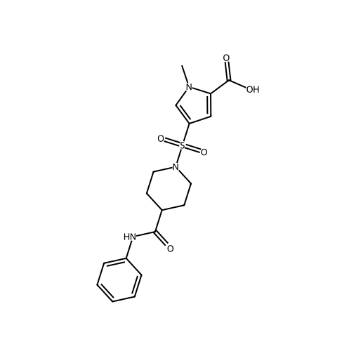 Cn1cc(S(=O)(=O)N2CCC(C(=O)Nc3ccccc3)CC2)cc1C(=O)O